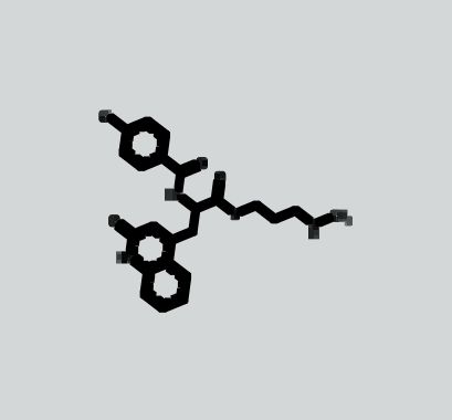 CNCCCSC(=O)C(Cc1cc(=O)[nH]c2ccccc12)NC(=O)c1ccc(Cl)cc1